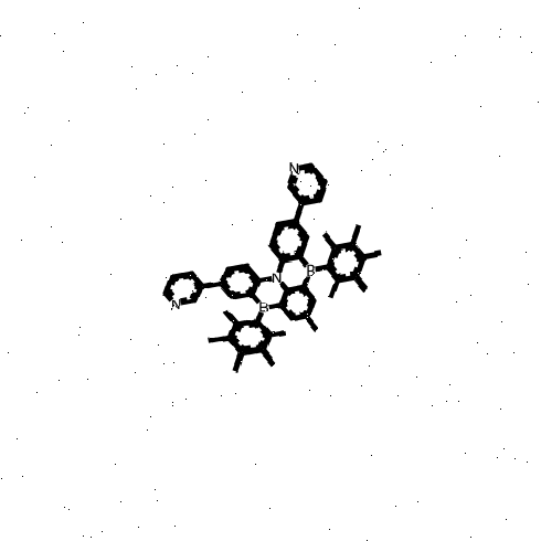 Cc1cc2c3c(c1)B(c1c(C)c(C)c(C)c(C)c1C)c1cc(-c4cccnc4)ccc1N3c1ccc(-c3cccnc3)cc1B2c1c(C)c(C)c(C)c(C)c1C